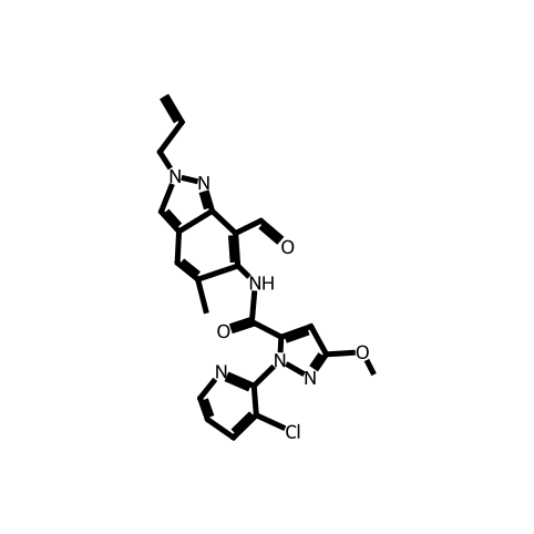 C=CCn1cc2cc(C)c(NC(=O)c3cc(OC)nn3-c3ncccc3Cl)c(C=O)c2n1